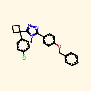 Cn1c(-c2ccc(OCc3ccccc3)cc2)nnc1C1(c2ccc(Cl)cc2)CCC1